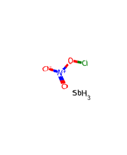 O=[N+]([O-])OCl.[SbH3]